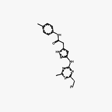 Cc1ccc(NC(=O)Cc2cc(Nc3nc(C)nc(CC(C)C)n3)n[nH]2)cc1